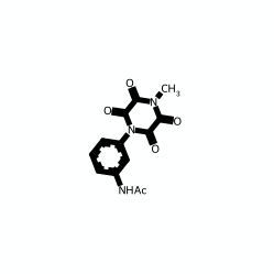 CC(=O)Nc1cccc(N2C(=O)C(=O)N(C)C(=O)C2=O)c1